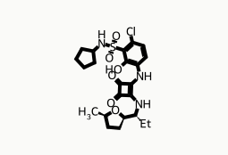 CC[C@@H](Nc1c(Nc2ccc(Cl)c(S(=O)(=O)NC3CCCC3)c2O)c(=O)c1=O)[C@H]1CC[C@@H](C)O1